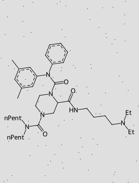 CCCCCN(CCCCC)C(=O)N1CCN(C(=O)N(c2ccccc2)c2cc(C)cc(C)c2)C(C(=O)NCCCCN(CC)CC)C1